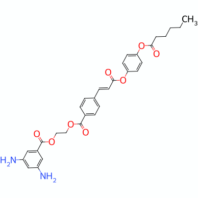 CCCCCC(=O)Oc1ccc(OC(=O)C=Cc2ccc(C(=O)OCCOC(=O)c3cc(N)cc(N)c3)cc2)cc1